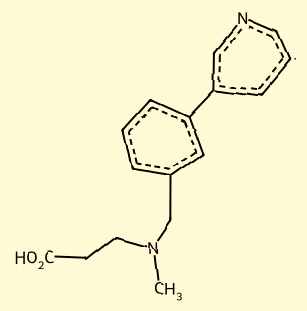 CN(CCC(=O)O)Cc1cccc(-c2c[c]cnc2)c1